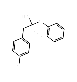 CCOC(=O)[C@@](C)(Cc1ccc(O)cc1)Oc1ccccc1